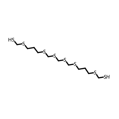 SCSCCCSCSCSCSCCCSCS